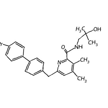 Cc1cc(Cc2ccc(-c3ccc(C(C)C)cc3)cc2)nc(C(=O)NCC(C)(C)O)c1C